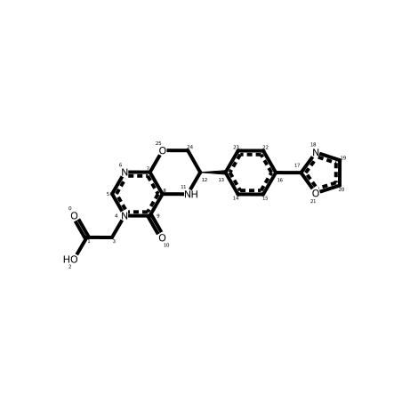 O=C(O)Cn1cnc2c(c1=O)N[C@H](c1ccc(-c3ncco3)cc1)CO2